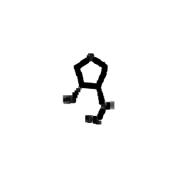 O=CN[C@@H]1COC[C@H]1O